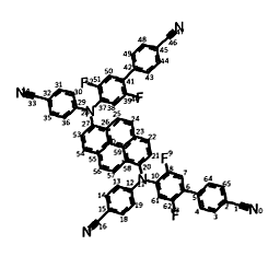 N#Cc1ccc(-c2cc(F)c(N(c3ccc(C#N)cc3)c3ccc4ccc5c(N(c6ccc(C#N)cc6)c6cc(F)c(-c7ccc(C#N)cc7)cc6F)ccc6ccc3c4c65)cc2F)cc1